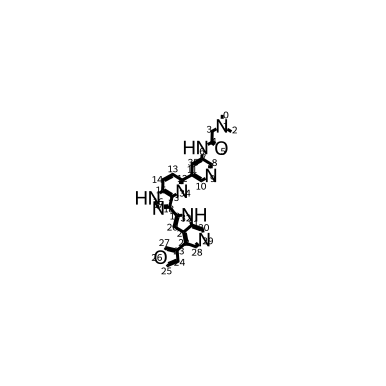 CN(C)CC(=O)Nc1cncc(-c2ccc3[nH]nc(-c4cc5c(-c6ccoc6)cncc5[nH]4)c3n2)c1